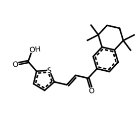 CC1(C)CCC(C)(C)c2cc(C(=O)C=Cc3ccc(C(=O)O)s3)ccc21